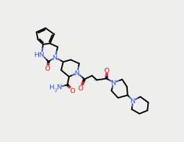 NC(=O)C1CC(N2Cc3ccccc3NC2=O)CCN1C(=O)C[CH]C(=O)N1CCC(N2CCCCC2)CC1